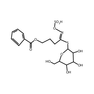 O=C(OCCC/C(=N\OS(=O)(=O)O)SC1OC(CO)C(O)C(O)C1O)c1ccccc1